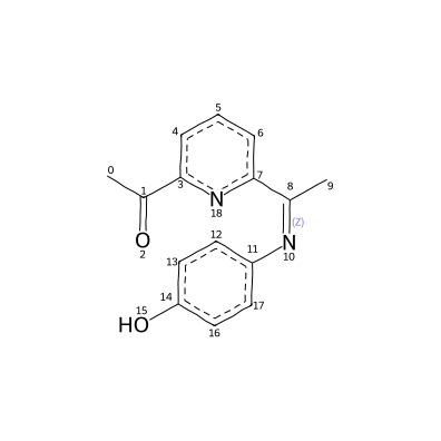 CC(=O)c1cccc(/C(C)=N\c2ccc(O)cc2)n1